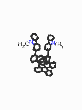 Cn1c2ccccc2c2ccc(-c3cccc4c(-c5cccc6c5C5(c7ccccc7-c7ccccc75)c5ccccc5-6)c5cccc(-c6ccc7c8ccccc8n(C)c7c6)c5cc34)cc21